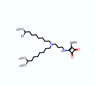 CCCCCCCCC(CC)CCCCCCCN(CCCCCCCC(CCCCCCCC)CCCCCCCC)CCCNc1c(NC)c(=O)c1=O